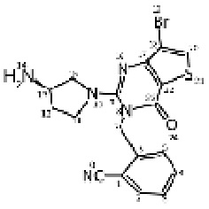 N#Cc1ccccc1Cn1c(N2CC[C@@H](N)C2)nc2c(Br)csc2c1=O